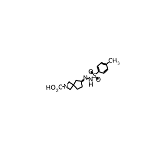 Cc1ccc(S(=O)(=O)NN=C2CCC3(C2)CN(C(=O)O)C3)cc1